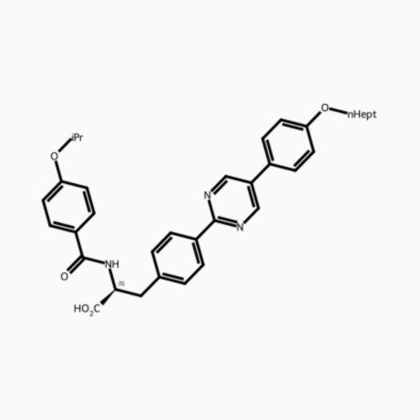 CCCCCCCOc1ccc(-c2cnc(-c3ccc(C[C@H](NC(=O)c4ccc(OC(C)C)cc4)C(=O)O)cc3)nc2)cc1